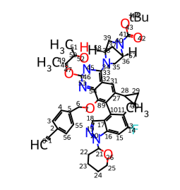 C#Cc1ccc(COc2c(-c3c(C)c(F)cc4c3cnn4C3CCCCO3)c(C3CC3)cc3c(N4C[C@@H]5C[C@H]4CN5C(=O)OC(C)(C)C)nc(O[C@H](C)[C@@H](C)O)nc23)cc1